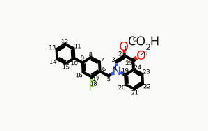 O=C(O)Oc1cn(Cc2ccc(-c3ccccc3)cc2F)c2ccccc2c1=O